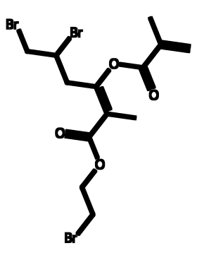 C=C(C)C(=O)OC(CC(Br)CBr)=C(C)C(=O)OCCBr